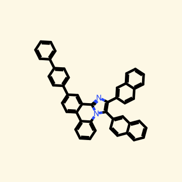 c1ccc(-c2ccc(-c3ccc4c5ccccc5n5c(-c6ccc7ccccc7c6)c(-c6ccc7ccccc7c6)nc5c4c3)cc2)cc1